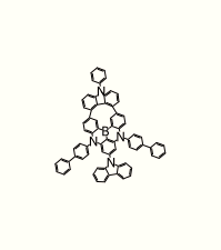 c1ccc(-c2ccc(N3c4ccc5cc4B4c6cc(ccc6N(c6ccc(-c7ccccc7)cc6)c6cc(-n7c8ccccc8c8ccccc87)cc3c64)-c3cccc4c3c3c-5cccc3n4-c3ccccc3)cc2)cc1